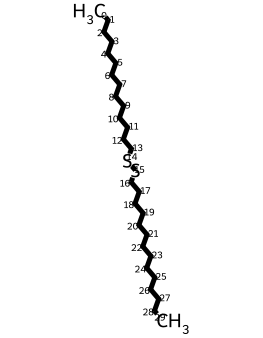 CCCCCCCCCCCCCCSSCCCCCCCCCCCCCC